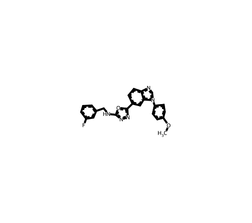 COc1ccc(-n2cnc3ccc(-c4nnc(NCc5cccc(F)c5)o4)cc32)cc1